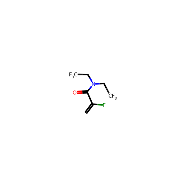 C=C(F)C(=O)N(CC(F)(F)F)CC(F)(F)F